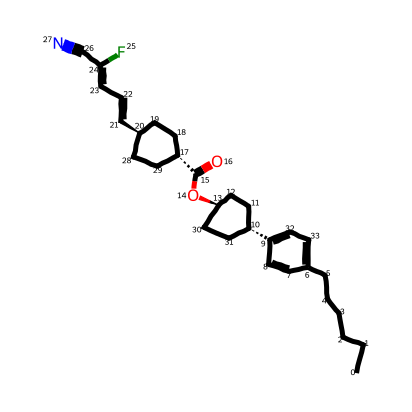 CCCCCCc1ccc([C@H]2CC[C@H](OC(=O)[C@H]3CC[C@H](C=CC=C(F)C#N)CC3)CC2)cc1